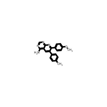 COc1ccc(-c2nc3ncnc(N)c3cc2-c2ccc(C)cc2)cc1